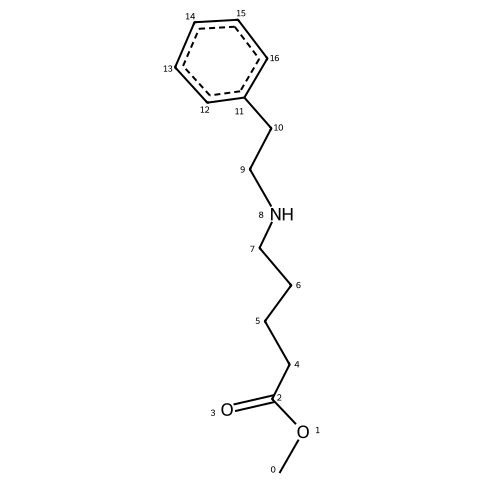 COC(=O)CCCCNCCc1ccccc1